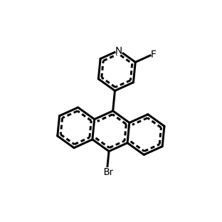 Fc1cc(-c2c3ccccc3c(Br)c3ccccc23)ccn1